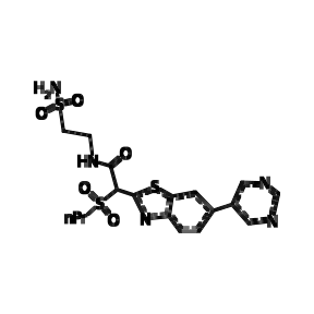 CCCS(=O)(=O)C(C(=O)NCCS(N)(=O)=O)c1nc2ccc(-c3cncnc3)cc2s1